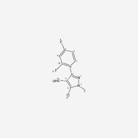 Cn1nc(-c2ccc(F)cc2F)c(C=O)c1Cl